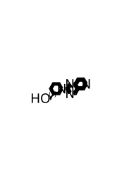 OC[C@H]1CCCN(c2ncc3cnccc3n2)C1